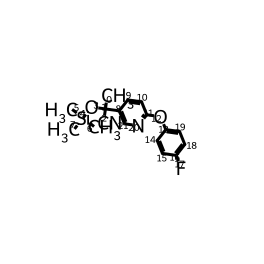 CC(C#N)(O[Si](C)(C)C)c1ccc(Oc2ccc(F)cc2)nc1